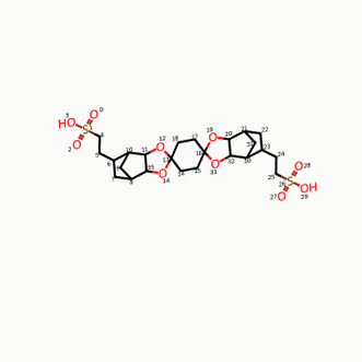 O=S(=O)(O)CCC1CC2CC1C1OC3(CCC4(CC3)OC3C5CC(CCS(=O)(=O)O)C(C5)C3O4)OC21